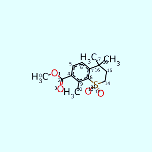 COC(=O)c1ccc2c(c1C)S(=O)(=O)CCC2(C)C